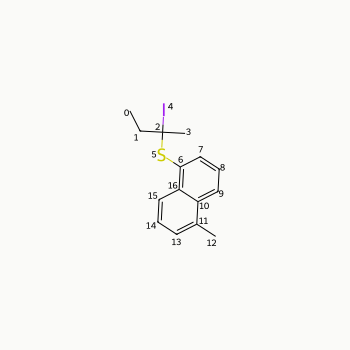 CCC(C)(I)Sc1cccc2c(C)cccc12